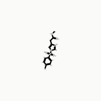 COC(=O)Cc1cn(S(=O)(=O)c2ccc(C)cc2)cn1